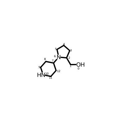 OCC1CCCN1C1CCNCC1